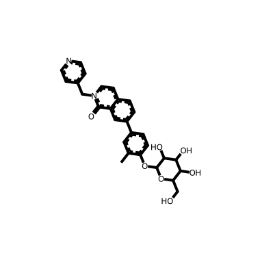 Cc1cc(-c2ccc3ccn(Cc4ccncc4)c(=O)c3c2)ccc1OC1OC(CO)C(O)C(O)C1O